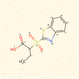 CCC(C(=O)O)S(=O)(=O)c1nc2ccccc2s1